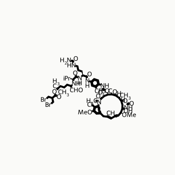 COc1cc2cc(c1Cl)N(C)C(=O)C[C@H](OC(=O)Nc1ccc(NC(=O)[C@H](CCCNC(N)=O)NC(=O)[C@@H](NC(C=O)CCCC(C)(C)OC(=O)C(CBr)CBr)C(C)C)cc1C(F)(F)F)[C@]1(C)O[C@H]1[C@H](C)[C@@H]1C[C@@](O)(NC(=O)O1)[C@H](OC)/C=C/C=C(\C)C2